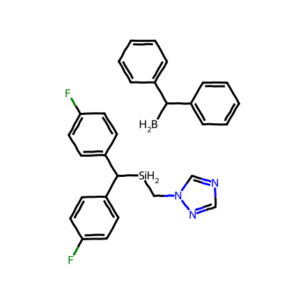 BC(c1ccccc1)c1ccccc1.Fc1ccc(C([SiH2]Cn2cncn2)c2ccc(F)cc2)cc1